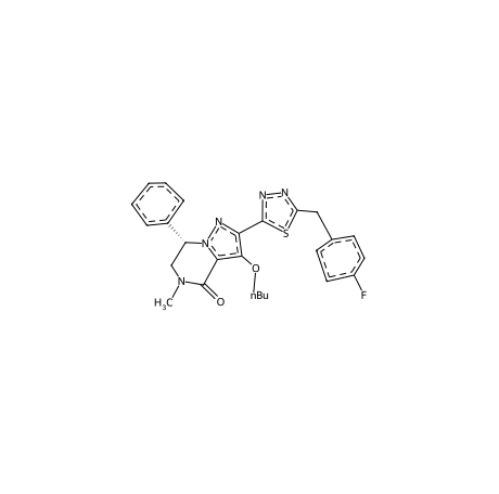 CCCCOc1c(-c2nnc(Cc3ccc(F)cc3)s2)nn2c1C(=O)N(C)C[C@@H]2c1ccccc1